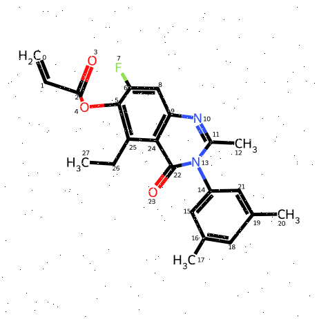 C=CC(=O)Oc1c(F)cc2nc(C)n(-c3cc(C)cc(C)c3)c(=O)c2c1CC